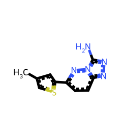 Cc1csc(-c2ccc3nnc(N)n3n2)c1